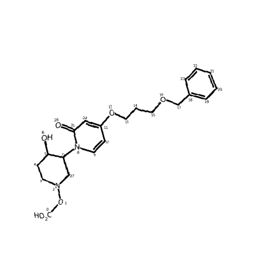 O=C(O)ON1CCC(O)C(n2ccc(OCCCOCc3ccccc3)cc2=O)C1